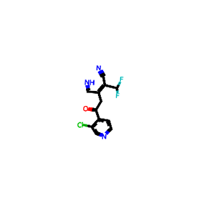 N#C/C(=C(\C=N)CC(=O)c1ccncc1Cl)C(F)F